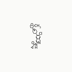 C[C@@H]1OCC[C@H]1N1CCC(c2cc3cc(NC(=O)C4CC4)ncc3cc2Cl)CC1